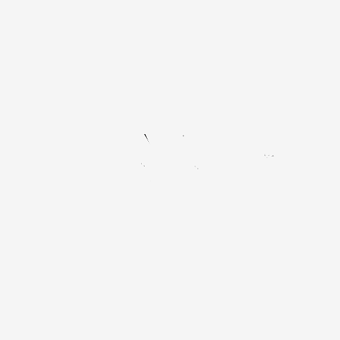 COc1cccc(CNC[C@@H](O)[C@H](Cc2cc(F)cc(F)c2)NC(=O)c2cc(C)cc(-c3ccsc3)c2)c1